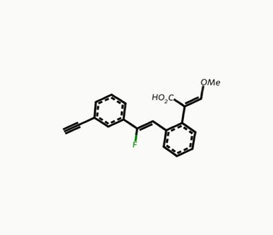 C#Cc1cccc(/C(F)=C/c2ccccc2/C(=C/OC)C(=O)O)c1